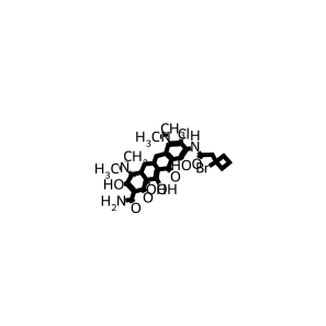 CN(C)c1c(Cl)c(NC(=O)CC2(Br)CCC2)c(O)c2c1CC1CC3[C@H](N(C)C)C(O)=C(C(N)=O)C(=O)[C@@]3(O)C(O)=C1C2=O